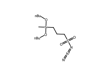 CCCCO[Si](C)(CCCS(=O)(=O)N=[N+]=[N-])OCCCC